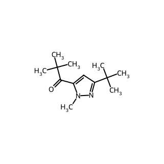 Cn1nc(C(C)(C)C)cc1C(=O)C(C)(C)C